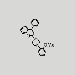 COc1ccccc1N1CCN(C(=O)CC(c2ccccc2)c2ccccc2)CC1